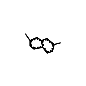 Cc1ccc2ccc(I)cc2c1